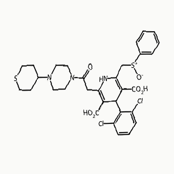 O=C(O)C1=C(CC(=O)N2CCN(C3CCSCC3)CC2)NC(C[S+]([O-])c2ccccc2)=C(C(=O)O)C1c1c(Cl)cccc1Cl